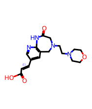 O=C(O)/C=C/c1cnc2c(c1)CN(CCN1CCOCC1)CC(=O)N2